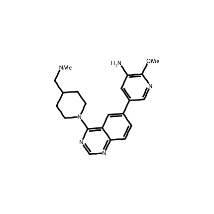 CNCC1CCN(c2ncnc3ccc(-c4cnc(OC)c(N)c4)cc23)CC1